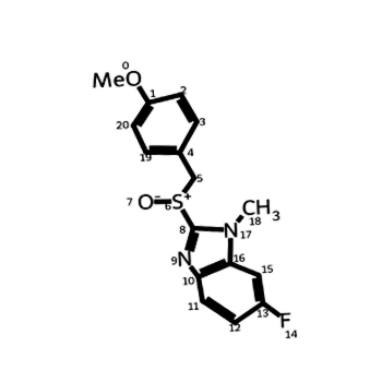 COc1ccc(C[S+]([O-])c2nc3ccc(F)cc3n2C)cc1